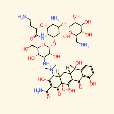 CN(C)[C@@H]1C(O)=C(C(N)=O)C(=O)[C@@]2(O)C(O)=C3C(=O)c4c(O)cccc4[C@@](C)(O)[C@H]3C[C@@H]12.NCC[C@H](O)C(=O)N[C@@H]1C[C@H](N)[C@@H](O[C@H]2O[C@H](CN)[C@@H](O)[C@H](O)[C@H]2O)[C@H](O)[C@H]1O[C@H]1O[C@H](CO)[C@@H](O)[C@H](N)[C@H]1O